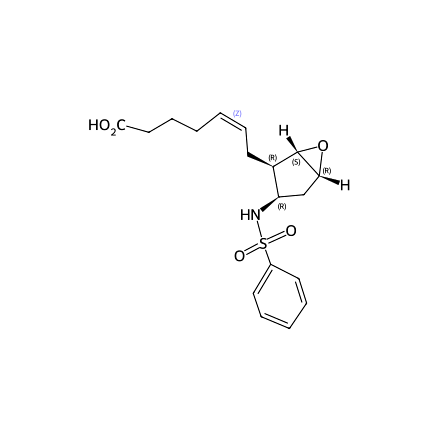 O=C(O)CCC/C=C\C[C@H]1[C@@H]2O[C@@H]2C[C@H]1NS(=O)(=O)c1ccccc1